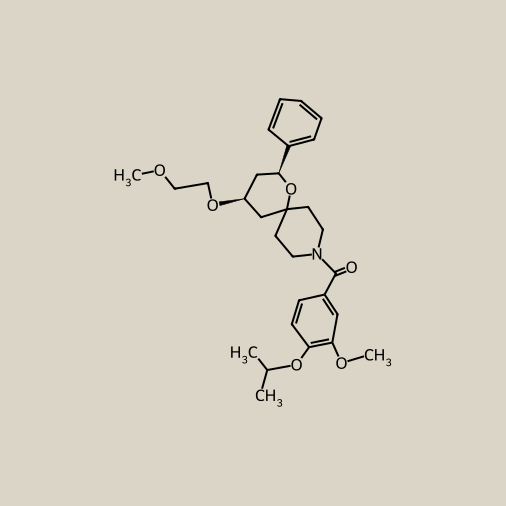 COCCO[C@H]1C[C@@H](c2ccccc2)OC2(CCN(C(=O)c3ccc(OC(C)C)c(OC)c3)CC2)C1